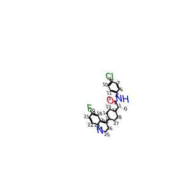 C[C@@H](C(=O)Nc1ccc(Cl)cc1)C1CCC(C2=c3cc(F)ccc3=NCC2)CC1